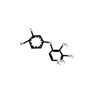 C=C(C)/C(C)=C(\C=C/C)Oc1ccc(Br)c(F)c1